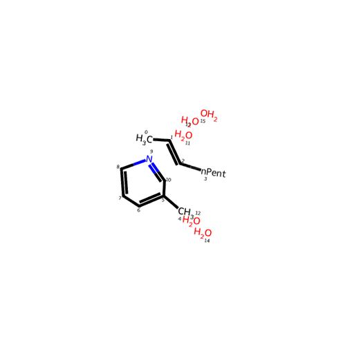 CC=CCCCCC.Cc1cccnc1.O.O.O.O.O